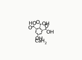 O=C(O)c1cc(O)cc(C(=O)O)c1C(=O)O.[CaH2]